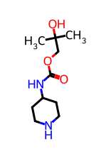 CC(C)(O)COC(=O)NC1CCNCC1